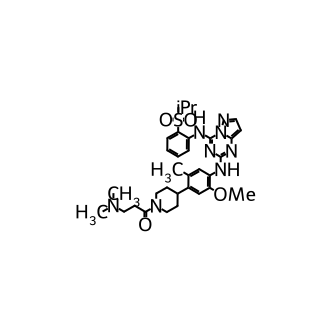 COc1cc(C2CCN(C(=O)CCN(C)C)CC2)c(C)cc1Nc1nc(Nc2ccccc2S(=O)(=O)C(C)C)n2nccc2n1